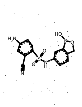 N#Cc1cc(N)ccc1S(=O)(=O)Nc1ccc2c(c1)B(O)OC2